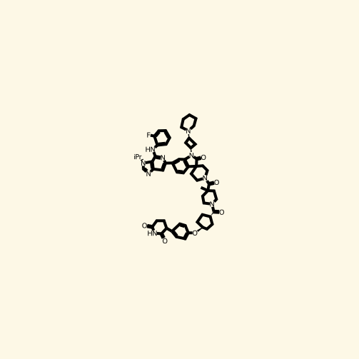 CC(C)n1cnc2cc(-c3ccc4c(c3)N([C@H]3C[C@@H](N5CCCCC5)C3)C(=O)C43CCN(C(=O)C4(C)CCN(C(=O)[C@H]5CC[C@H](Oc6ccc(C7CCC(=O)NC7=O)cc6)CC5)CC4)CC3)nc(Nc3ccccc3F)c21